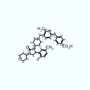 Cc1ccc(F)c(C2CN(C3CCOCC3)C(=O)N2C2CCN(Cc3ccc(Sc4ccc(C(=O)O)cc4)nc3C)CC2)c1